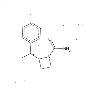 CC(c1ccccc1)C1CCN1C(N)=O